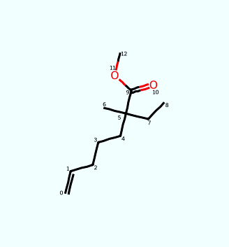 C=CCCCC(C)(CC)C(=O)OC